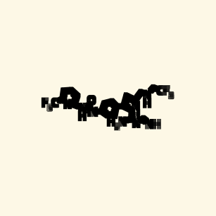 N=C/N=C(/N)c1[nH]c(CNCC(F)(F)F)cc1-c1ccc(NC(=O)Nc2cccc(C(F)(F)F)n2)cc1